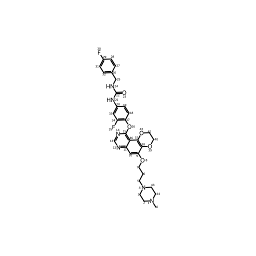 CN1CCN(CCCOc2cc3ncnc(Oc4ccc(NC(=O)NCc5ccc(F)cc5)cc4F)c3c3c2OCCO3)CC1